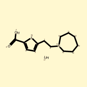 O=C(O)c1ccc(CCN2CCCCCC2)s1.[LiH]